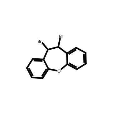 BrC1c2ccccc2Oc2ccccc2C1Br